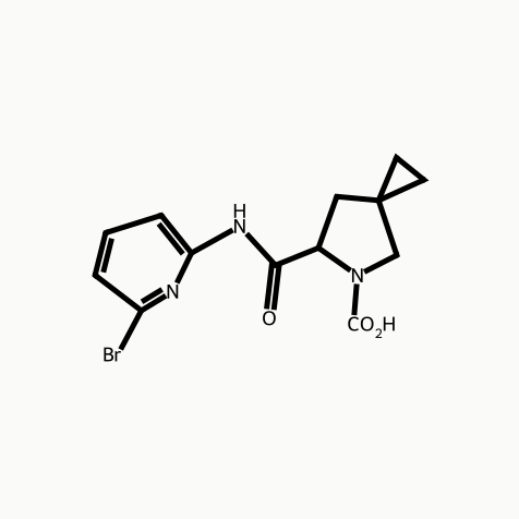 O=C(Nc1cccc(Br)n1)C1CC2(CC2)CN1C(=O)O